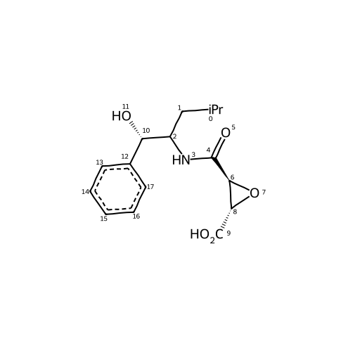 CC(C)CC(NC(=O)[C@H]1O[C@@H]1C(=O)O)[C@@H](O)c1ccccc1